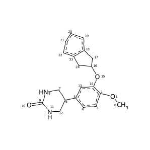 COc1ccc(C2CNC(=O)NC2)cc1OC1Cc2ccccc2C1